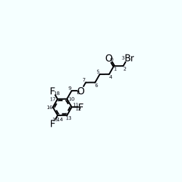 O=C(CBr)CCCCOCc1c(F)cc(F)cc1F